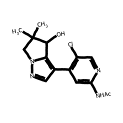 CC(=O)Nc1cc(-c2cnn3c2C(O)C(C)(C)C3)c(Cl)cn1